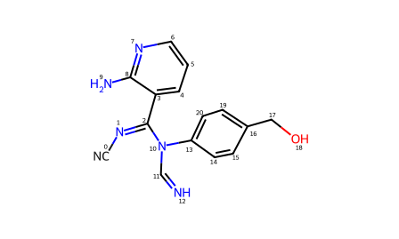 N#CN=C(c1cccnc1N)N(C=N)c1ccc(CO)cc1